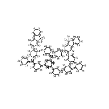 CC1(C)c2ccccc2-c2ccc(-c3ccc4c(c3)c3ccccc3n4-c3cccc(-c4nc(-c5cccc(-c6ccc(-c7ccccc7)c(-c7ccccc7)c6)c5)nc(-n5c6ccccc6c6cc(-c7ccc8c(c7)C(C)(C)c7ccccc7-8)ccc65)n4)c3)cc21